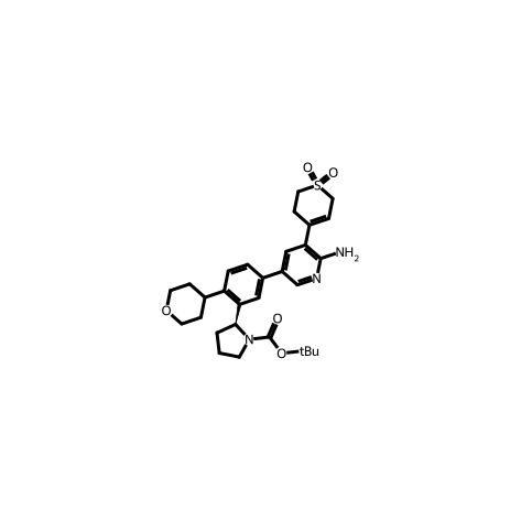 CC(C)(C)OC(=O)N1CCC[C@H]1c1cc(-c2cnc(N)c(C3=CCS(=O)(=O)CC3)c2)ccc1C1CCOCC1